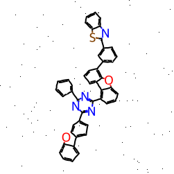 c1ccc(-c2nc(-c3ccc4c(c3)oc3ccccc34)nc(-c3cccc4oc5c(-c6cccc(-c7nc8ccccc8s7)c6)cccc5c34)n2)cc1